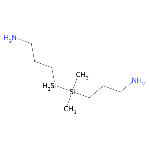 C[Si](C)(CCCN)[SiH2]CCCN